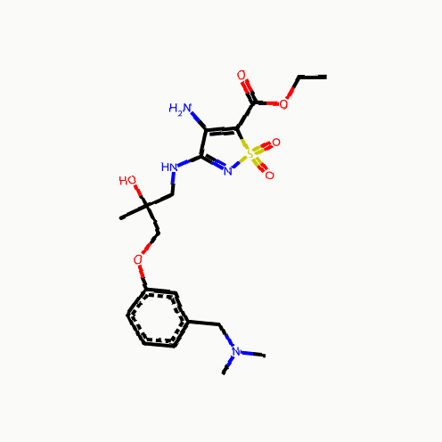 CCOC(=O)C1=C(N)C(NCC(C)(O)COc2cccc(CN(C)C)c2)=NS1(=O)=O